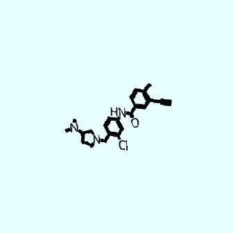 C#Cc1cc(C(=O)Nc2ccc(CN3CCC(N(C)C)C3)c(Cl)c2)ccc1C